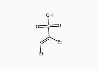 CC/C=C(\CC)S(=O)(=O)O